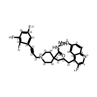 COc1ccc2ncc(F)c(CCCC3(C(=O)NO)CCN(CC#Cc4cc(F)cc(F)c4F)CC3)c2c1